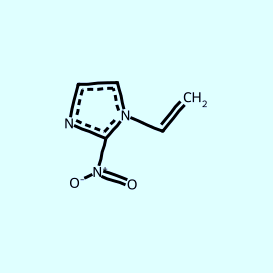 C=Cn1ccnc1[N+](=O)[O-]